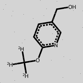 [2H]C([2H])([2H])Oc1ccc(CO)cn1